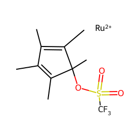 CC1=C(C)C(C)(OS(=O)(=O)C(F)(F)F)C(C)=C1C.[Ru+2]